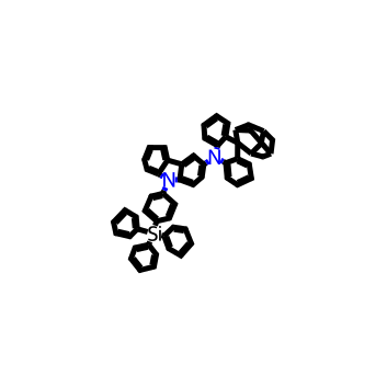 c1ccc([Si](c2ccccc2)(c2ccccc2)c2ccc(-n3c4ccccc4c4cc(N5c6ccccc6C6(c7ccccc75)C5CC7CC(C5)CC6C7)ccc43)cc2)cc1